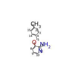 Cc1ccc(COc2cccnc2N)cc1